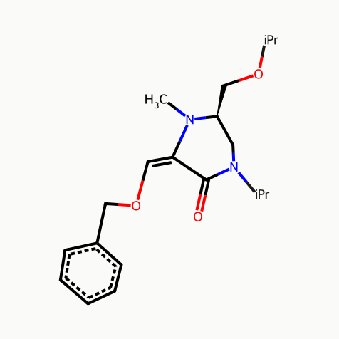 CC(C)OC[C@H]1CN(C(C)C)C(=O)/C(=C\OCc2ccccc2)N1C